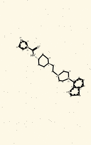 O=C(N[C@H]1CC[C@H](CCN2CCN(c3cccc4ccsc34)CC2)CC1)n1ccnc1